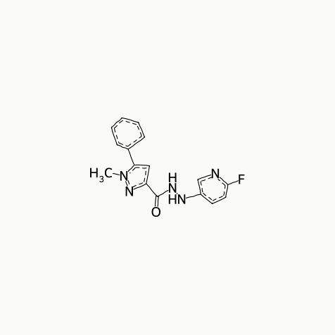 Cn1nc(C(=O)NNc2ccc(F)nc2)cc1-c1ccccc1